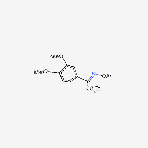 CCOC(=O)C(=NOC(C)=O)c1ccc(OC)c(OC)c1